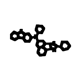 c1ccc(-c2nc3c(s2)-c2cc(N(c4ccccc4)c4ccc5c(c4)sc4ccccc45)cc4cccc-3c24)cc1